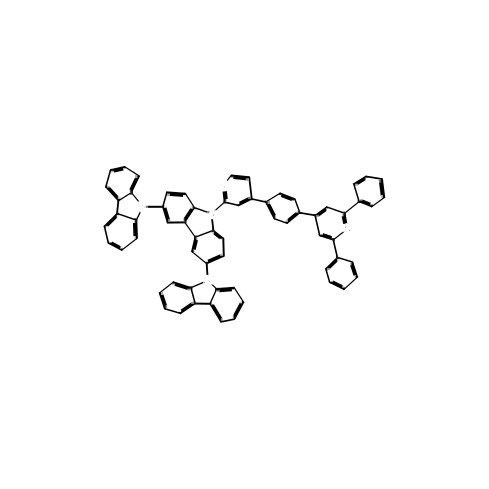 c1ccc(-c2cc(-c3ccc(-c4ccnc(-n5c6ccc(-n7c8ccccc8c8ccccc87)cc6c6cc(-n7c8ccccc8c8ccccc87)ccc65)c4)cc3)cc(-c3ccccc3)n2)cc1